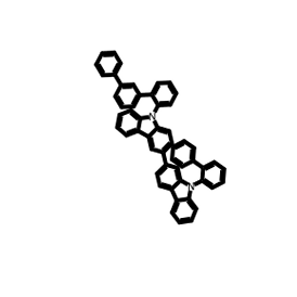 c1ccc(-c2cccc(-c3ccccc3-n3c4ccccc4c4cc(-c5ccc6c7ccccc7n(-c7ccccc7-c7ccccc7)c6c5)ccc43)c2)cc1